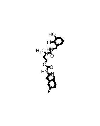 CN(CCOC(=O)Nc1cc2cc(F)ccc2cn1)C(=O)NCc1cccc(O)c1Cl